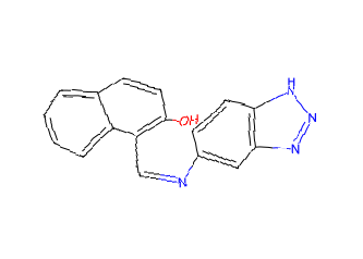 Oc1ccc2ccccc2c1/C=N\c1ccc2[nH]nnc2c1